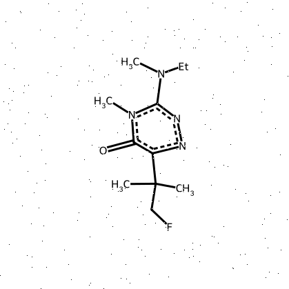 CCN(C)c1nnc(C(C)(C)CF)c(=O)n1C